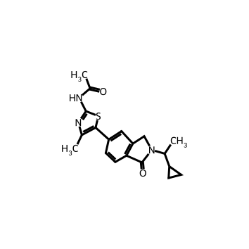 CC(=O)Nc1nc(C)c(-c2ccc3c(c2)CN(C(C)C2CC2)C3=O)s1